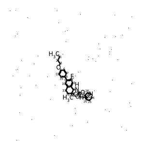 CCCCOc1ccc(-c2cc3c(cc2F)[C@H](NC(=O)O[C@@H]2CN4CCC2CC4)C(C)(C)CC3)cc1